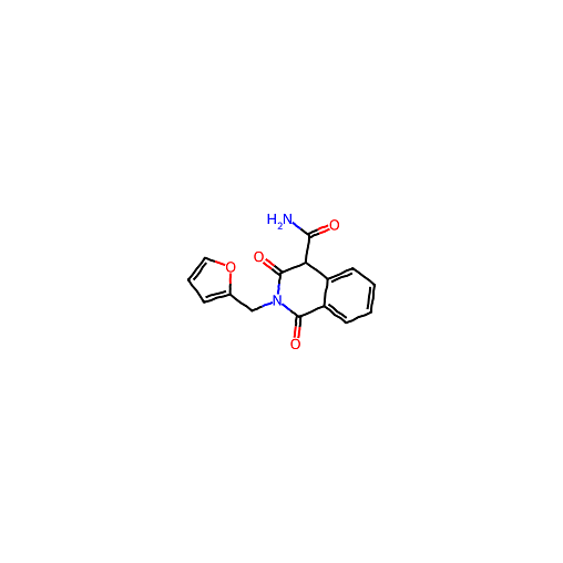 NC(=O)C1C(=O)N(Cc2ccco2)C(=O)c2ccccc21